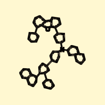 c1ccc(-c2cc(-c3ccc(N(c4ccc(-c5cccc6c5oc5c(-c7ccccc7)cccc56)cc4)c4ccc5ccccc5c4)cc3)ccc2-c2cccc3ccccc23)cc1